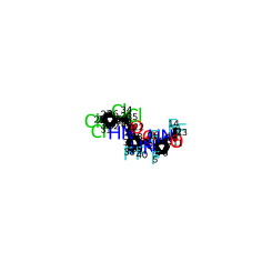 O=C(Nc1c(F)ccc(NC(=O)C(F)F)c1F)c1cc(NC(=O)[C@H]2[C@H](c3ccc(Cl)c(Cl)c3)C2(Cl)Cl)cc(F)c1F